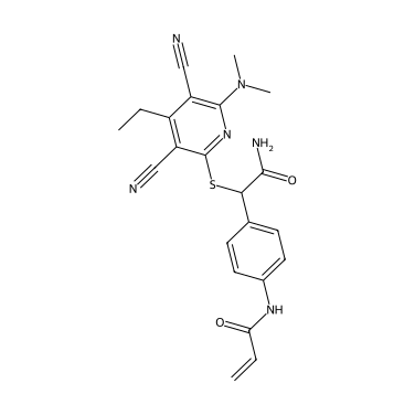 C=CC(=O)Nc1ccc(C(Sc2nc(N(C)C)c(C#N)c(CC)c2C#N)C(N)=O)cc1